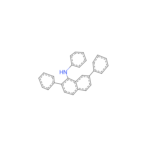 c1ccc(Nc2c(-c3ccccc3)ccc3ccc(-c4ccccc4)cc23)cc1